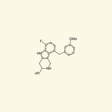 CCCC1Cc2[nH]c3c(F)ccc(Cc4cccc(OC)c4)c3c2CN1